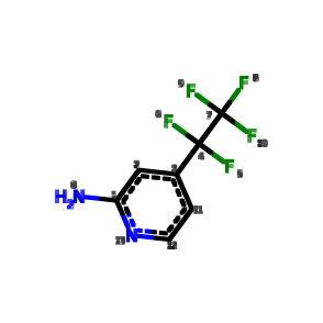 Nc1cc(C(F)(F)C(F)(F)F)ccn1